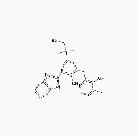 Cc1cccc(Cc2cc(C(C)(C)CC(C)(C)C)cc(-n3nc4ccccc4n3)c2O)c1O